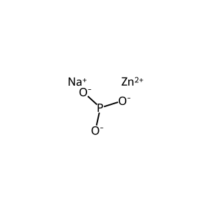 [Na+].[O-]P([O-])[O-].[Zn+2]